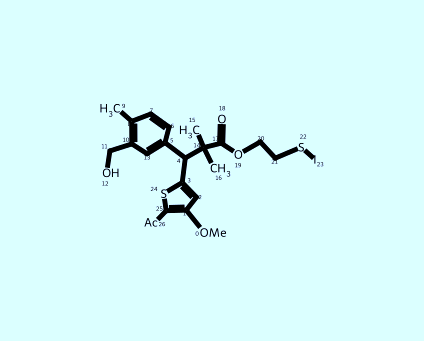 COc1cc(C(c2ccc(C)c(CO)c2)C(C)(C)C(=O)OCCSI)sc1C(C)=O